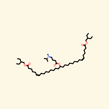 CCC(CC)COC(=O)CCCC/C=C\CCCCCCCCC(CCCCCCCC/C=C\CCCCC(=O)OCC(CC)CC)OC(=O)CCCN(C)C(C)C